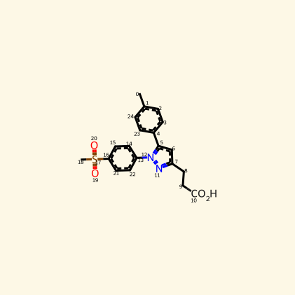 Cc1ccc(-c2cc(CCC(=O)O)nn2-c2ccc(S(C)(=O)=O)cc2)cc1